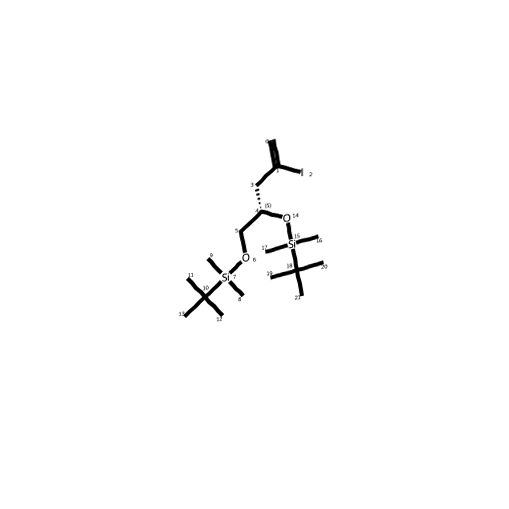 C=C(I)C[C@@H](CO[Si](C)(C)C(C)(C)C)O[Si](C)(C)C(C)(C)C